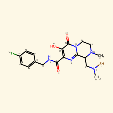 CN(S)CC1c2nc(C(=O)NCc3ccc(F)cc3)c(O)c(=O)n2CCN1C